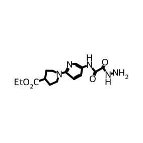 CCOC(=O)C1CCN(c2ccc(NC(=O)C(=O)NN)cn2)CC1